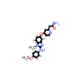 COc1ccc(Nc2nc3cc(Oc4ccnc(CC(N)=O)c4)ccc3n2C)cc1